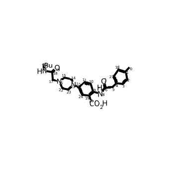 Cc1ccc(CC(=O)Nc2ccc(N3CCN(CC(=O)NC(C)(C)C)CC3)cc2C(=O)O)cc1